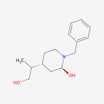 CC(CO)[C@@H]1CCN(Cc2ccccc2)[C@@H](O)C1